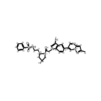 CC(=O)c1cn(CC(=O)N2C[C@H](F)C[C@H]2CCNS(=O)(=O)c2ccccc2)c2ccc(-c3cnc4cc(C)nn4c3)cc12